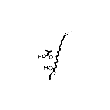 C=C(C)C(=O)O.CCOC(O)CCCCCCCCCCCCO